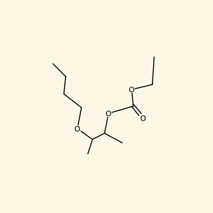 CCCCOC(C)C(C)OC(=O)OCC